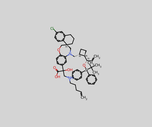 C=CCCCNCC(O)(C(=O)O)c1ccc2c(c1)N(C[C@@H]1CC[C@H]1[C@H](C=C)O[Si](c1ccccc1)(c1ccccc1)C(C)(C)C)C[C@@]1(CCCc3cc(Cl)ccc31)CO2